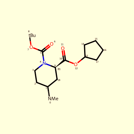 CNC1CCN(C(=O)OC(C)(C)C)[C@@H](C(=O)OC2CCCC2)C1